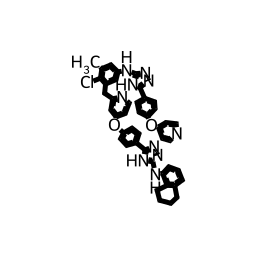 Cc1cc(Nc2nnc(-c3ccc(Oc4ccncc4)cc3)[nH]2)cc(Cc2cc(Oc3ccc(-c4nnc(Nc5cccc6c5CCCC6)[nH]4)cc3)ccn2)c1Cl